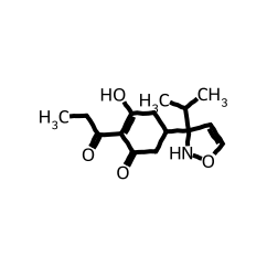 CCC(=O)C1=C(O)CC(C2(C(C)C)C=CON2)CC1=O